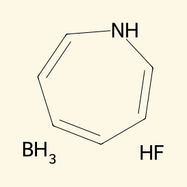 B.C1=CC=CNC=C1.F